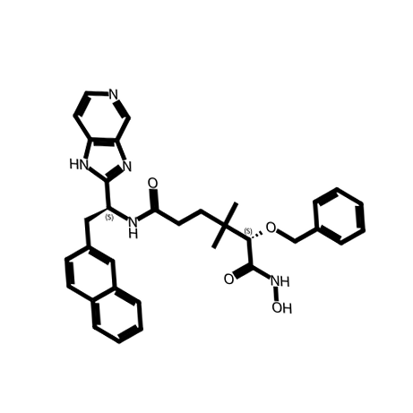 CC(C)(CCC(=O)N[C@@H](Cc1ccc2ccccc2c1)c1nc2cnccc2[nH]1)[C@H](OCc1ccccc1)C(=O)NO